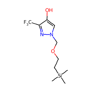 C[Si](C)(C)CCOCn1cc(O)c(C(F)(F)F)n1